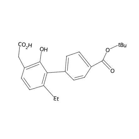 CCc1ccc(CC(=O)O)c(O)c1-c1ccc(C(=O)OC(C)(C)C)cc1